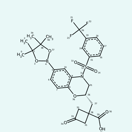 CC1(C)OB(c2ccc3c(c2)N(S(=O)(=O)c2cccc(C(F)(F)F)c2)C[C@H](CC2(C(=O)O)CC(=O)C2)O3)OC1(C)C